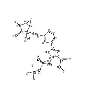 COC(=O)c1nc(-c2cccc(C#CC3(O)C(=O)N(C)C4CC43)c2)sc1NC(=O)OC(C)(C)C